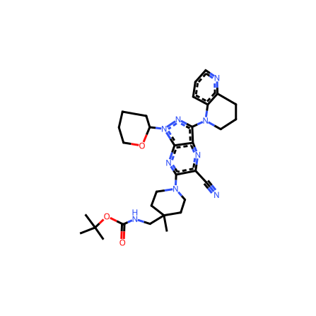 CC1(CNC(=O)OC(C)(C)C)CCN(c2nc3c(nc2C#N)c(N2CCCc4ncccc42)nn3C2CCCCO2)CC1